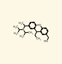 CCC(c1cccc(C(C)N(C(C)C)C(C)C)c1)c1cc(CO)ccc1O